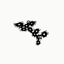 c1ccc(-c2cc(-c3ccc(-c4ccc(-c5c6c(cc7c(-c8ccccc8)nc8ccccc8c57)oc5ccccc56)cc4)c4ccccc34)nc(-c3ccccc3)n2)cc1